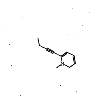 CCC#CC1=CC=CCN1C